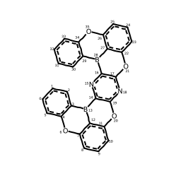 c1ccc2c(c1)Oc1cccc3c1B2c1nc2c(nc1O3)Oc1cccc3c1B2c1ccccc1O3